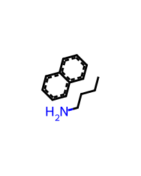 CCCCN.c1ccc2ccccc2c1